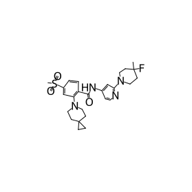 CC1(F)CCN(c2cc(NC(=O)c3ccc(S(C)(=O)=O)cc3N3CCC4(CC3)CC4)ccn2)CC1